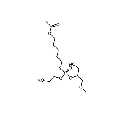 COCC(CO)OP(=O)(OCCO)SCCCCCOC(C)=O